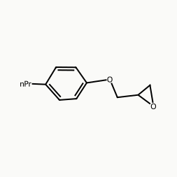 CCCc1ccc(OCC2CO2)cc1